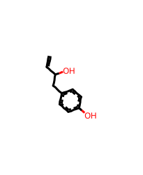 C=CC(O)Cc1ccc(O)cc1